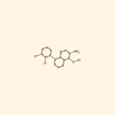 CCOc1c([N+](=O)[O-])cnc2c(-c3cccc(Cl)c3Cl)cccc12